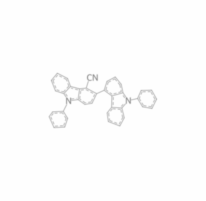 N#Cc1c(-c2cccc3c2c2ccccc2n3-c2ccccc2)ccc2c1c1ccccc1n2-c1ccccc1